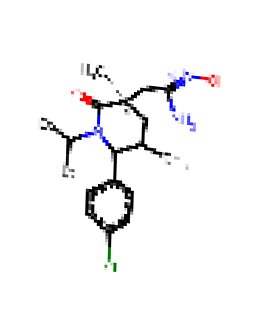 CCC(CC)N1C(=O)[C@@](C)(C/C(N)=N/O)CC(C)C1c1ccc(Cl)cc1